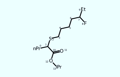 CCCC(SCCCCC(F)CC)C(=O)OC(C)C